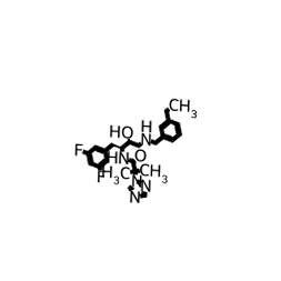 CCc1cccc(CNC[C@H](O)[C@H](Cc2cc(F)cc(F)c2)NC(=O)C(C)(C)n2cncn2)c1